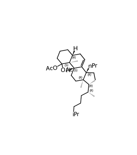 CCC[C@@]12CC[C@H]([C@H](C)CCCC(C)C)[C@@]1(C)CC[C@H]1C2=CC[C@H]2CCCC(OC(C)=O)(OC(C)=O)[C@@]21C